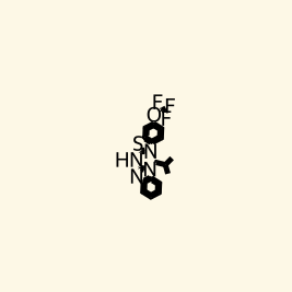 CC(C)Cn1c(Nc2nc3ccc(OC(F)(F)F)cc3s2)nc2ccccc21